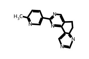 Cc1ccc(-c2ncc3c(n2)-c2cncnc2CC3)cn1